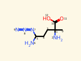 CC(N)(CCC(N)N=[N+]=[N-])C(=O)O